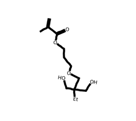 C=C(C)C(=O)OCCCOCC(CC)(CO)CO